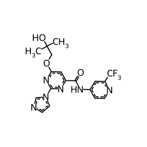 CC(C)(O)COc1cc(C(=O)Nc2ccnc(C(F)(F)F)c2)nc(-n2ccnc2)n1